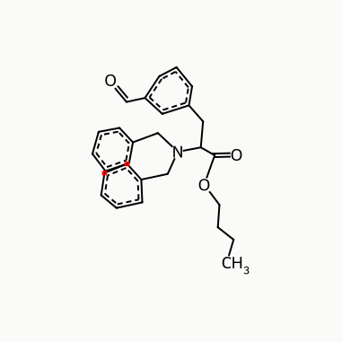 CCCCOC(=O)C(Cc1cccc(C=O)c1)N(Cc1ccccc1)Cc1ccccc1